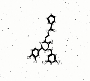 O=C(OCCC1OC(c2ccc(Cl)c(Cl)c2)CN(Cc2cc(C(F)(F)F)cc(C(F)(F)F)c2)C1=O)c1ccccc1